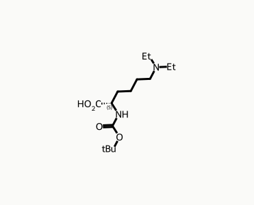 CCN(CC)CCCC[C@H](NC(=O)OC(C)(C)C)C(=O)O